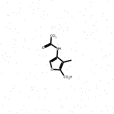 Cc1c(NC(=O)C(Cl)(Cl)Cl)coc1C(=O)O